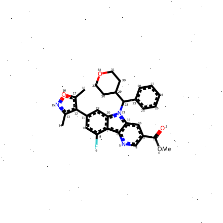 COC(=O)c1cnc2c3c(F)cc(-c4c(C)noc4C)cc3n(C(c3ccccc3)C3CCOCC3)c2c1